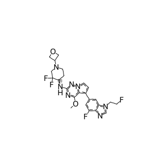 COc1nc(N[C@@H]2CCN(C3COC3)CC2(F)F)nn2ccc(-c3cc(F)c4ncn(CCF)c4c3)c12